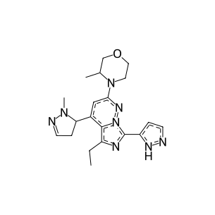 CCc1nc(-c2ccn[nH]2)n2nc(N3CCOCC3C)cc(C3CC=NN3C)c12